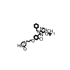 CC1(Oc2ncnc3c2nc(-c2ccc(OCCCN4CCNC(=O)C4)cc2Cl)n3Cc2ccccc2)CC1